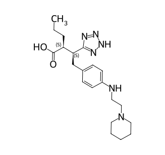 CCC[C@H](C(=O)O)[C@H](Cc1ccc(NCCN2CCCCC2)cc1)c1nn[nH]n1